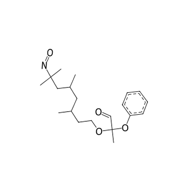 CC(CCOC(C)(C=O)Oc1ccccc1)CC(C)CC(C)(C)N=O